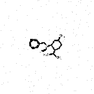 CC1CCC(C(C)C)C(N(C=O)Cc2ccccc2)C1